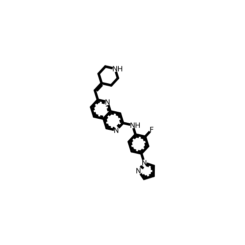 Fc1cc(-n2cccn2)ccc1Nc1cc2nc(C=C3CCNCC3)ccc2cn1